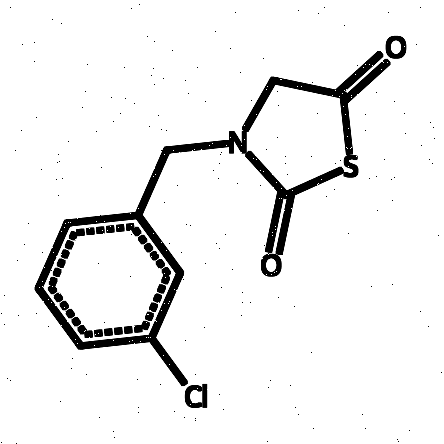 O=C1CN(Cc2cccc(Cl)c2)C(=O)S1